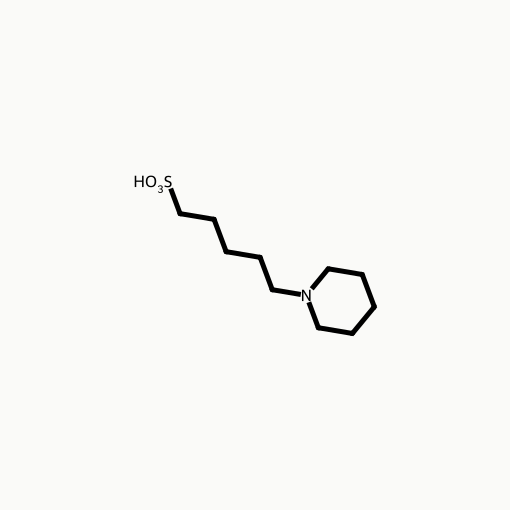 O=S(=O)(O)CCCCCN1CCCCC1